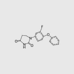 O=C1CCN(c2ccc(Oc3ccccc3)c(F)c2)C(=O)N1